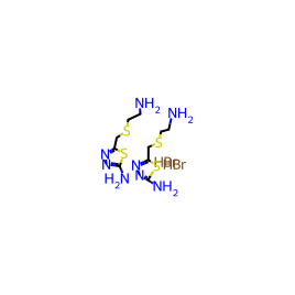 Br.Br.NCCSCc1nnc(N)s1.NCCSCc1nnc(N)s1